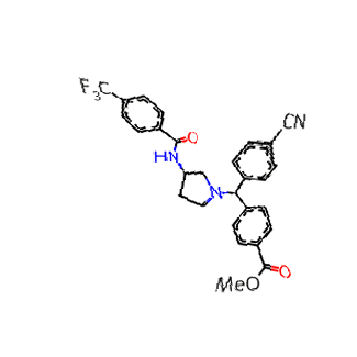 COC(=O)c1ccc(C(c2ccc(C#N)cc2)N2CC[C@@H](NC(=O)c3ccc(C(F)(F)F)cc3)C2)cc1